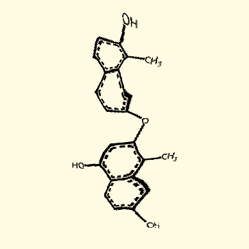 Cc1c(O)ccc2ccc(Oc3cc(O)c4ccc(O)cc4c3C)cc12